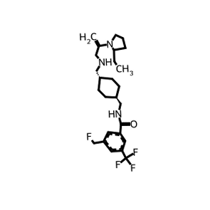 C=C(CNC[C@H]1CC[C@H](CNC(=O)c2cc(CF)cc(C(F)(F)F)c2)CC1)N1CCCC1CC